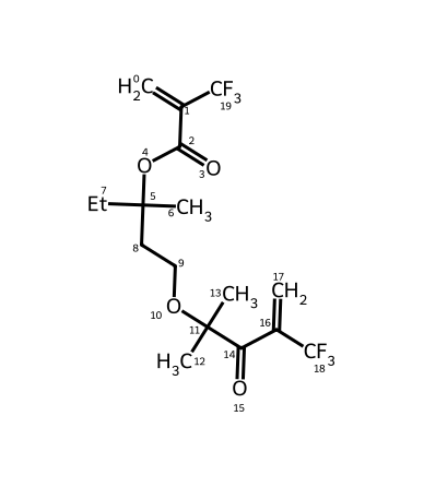 C=C(C(=O)OC(C)(CC)CCOC(C)(C)C(=O)C(=C)C(F)(F)F)C(F)(F)F